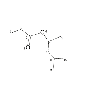 [CH2]CC(=O)OC(C)CC(C)C